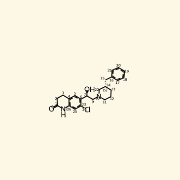 O=C1CCc2cc(C(O)CN3CCC[C@@H](Cc4ccccc4)C3)c(Cl)cc2N1